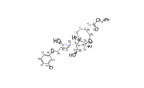 CC(C)OC(=O)C[C@H]1CC[C@@H]2[C@@H](/C=C/[C@@H](O)COc3cccc(Cl)c3)[C@H](O)C[C@@H]2OC1